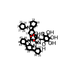 Oc1c(O)c(O)c(-c2nc(-c3ccc4c(c3)c3ccccc3n4-c3ccccc3)nc(-n3c4ccccc4c4ccc5c6ccccc6n(-c6ccccc6)c5c43)n2)c(O)c1O